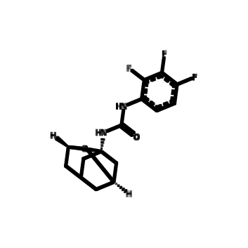 O=C(Nc1ccc(F)c(F)c1F)N[C@]12CC3C[C@@H](C[C@H](C3)O1)C2